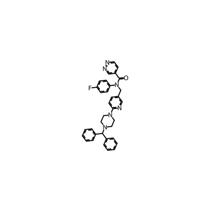 O=C(c1ccnnc1)N(Cc1ccc(N2CCN(C(c3ccccc3)c3ccccc3)CC2)nc1)c1ccc(F)cc1